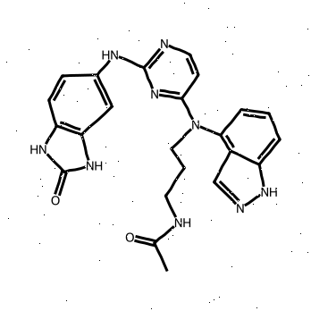 CC(=O)NCCCN(c1ccnc(Nc2ccc3[nH]c(=O)[nH]c3c2)n1)c1cccc2[nH]ncc12